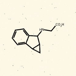 O=C(O)CNC1c2ccccc2C2CC21